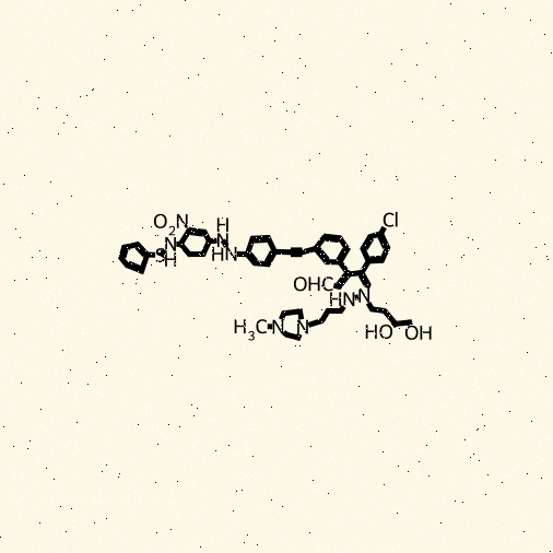 CN1CCN(CCCNN(/C=C(\C(=C\C=O)c2cccc(C#Cc3ccc(NNC4C=C([N+](=O)[O-])C(NSc5ccccc5)CC4)cc3)c2)c2ccc(Cl)cc2)CCC(O)CO)CC1